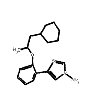 CC(CC1CCCCC1)Oc1ccccc1-c1cn(N)cn1